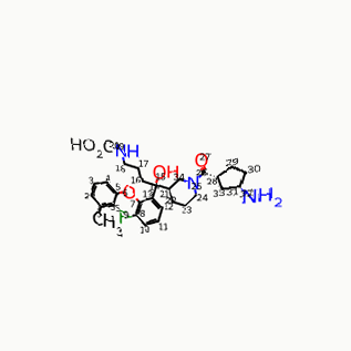 Cc1cccc(Oc2c(F)cccc2[C@](O)(CCCNC(=O)O)[C@@H]2CCCN(C(=O)[C@@H]3CC[C@H](N)C3)C2)c1